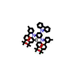 Cc1ccc(N2c3ccc(C(C)(C)C)cc3B3c4cc(C(C)(C)C)ccc4N(c4ccc(C)cc4C4C=CC(C(C)(C)C)=CC4)c4cc(-n5c6ccccc6c6ccccc65)cc2c43)c(-c2ccc(C(C)(C)C)cc2)c1